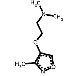 Cc1nocc1OCCN(C)C